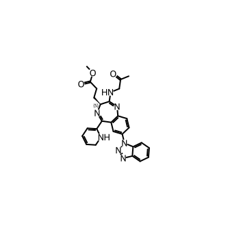 COC(=O)CC[C@@H]1N=C(C2=CC=CCN2)c2cc(-n3nnc4ccccc43)ccc2N=C1NCC(C)=O